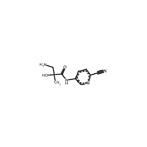 CC(O)(CN)C(=O)Nc1ccc(C#N)nc1